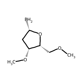 B[C@H]1C[C@@H](OC)[C@@H](COC)O1